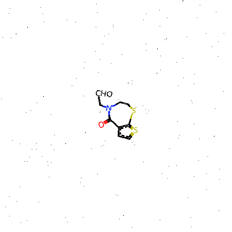 O=CCN1CCSc2sccc2C1=O